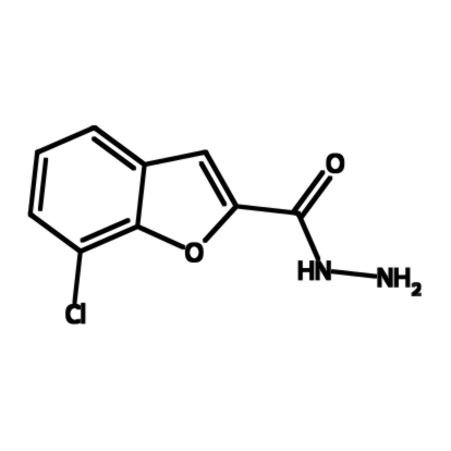 NNC(=O)c1cc2cccc(Cl)c2o1